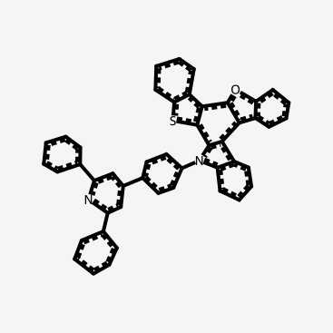 c1ccc(-c2cc(-c3ccc(-n4c5ccccc5c5c6c7ccccc7oc6c6c7ccccc7sc6c54)cc3)cc(-c3ccccc3)n2)cc1